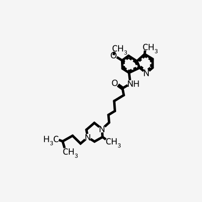 COc1cc(NC(=O)CCCCCN2CCN(CCC(C)C)CC2C)c2nccc(C)c2c1